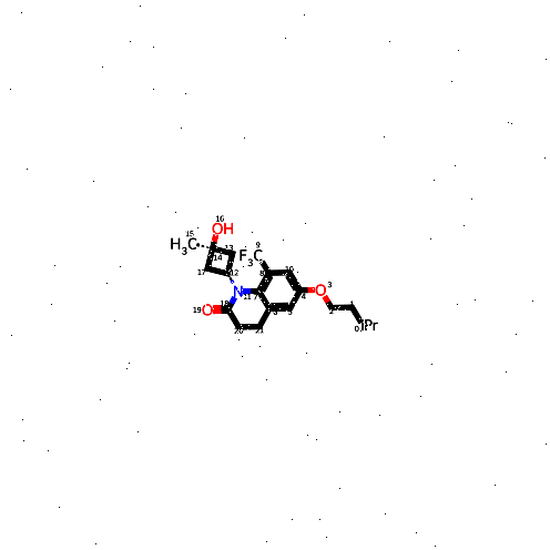 CC(C)CCOc1cc2c(c(C(F)(F)F)c1)N([C@H]1C[C@](C)(O)C1)C(=O)CC2